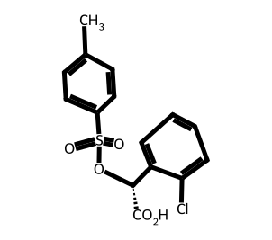 Cc1ccc(S(=O)(=O)O[C@@H](C(=O)O)c2ccccc2Cl)cc1